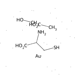 CC(=O)O.CO.NC(CS)C(=O)O.[Au]